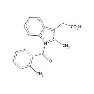 Cc1ccccc1C(=O)n1c(C)c(CC(=O)O)c2ccccc21